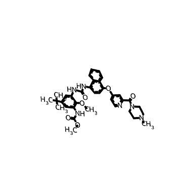 COC(=O)Nc1cc(C(C)(C)C)cc(NC(=O)Nc2ccc(Oc3ccnc(C(=O)N4CCN(C)CC4)c3)c3ccccc23)c1OC